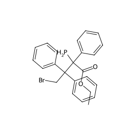 CCOC(=O)C(P)(c1ccccc1)C(CBr)(c1ccccc1)c1ccccc1